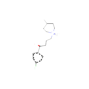 CC1CC[N+](CCCC(=O)c2ccc(F)cc2)(C(C)C)CC1